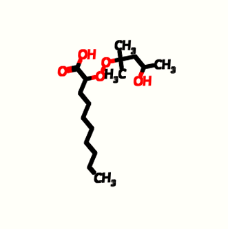 CCCCCCCCC(OOC(C)(C)CC(C)O)C(=O)O